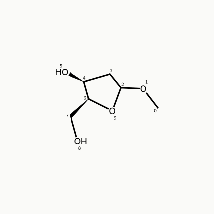 COC1C[C@H](O)[C@H](CO)O1